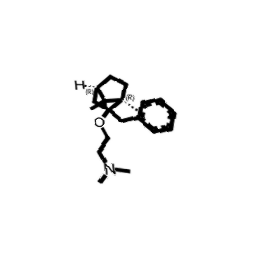 CN(C)CCOC1(Cc2ccccc2)C[C@H]2CC[C@]1(C)C2(C)C